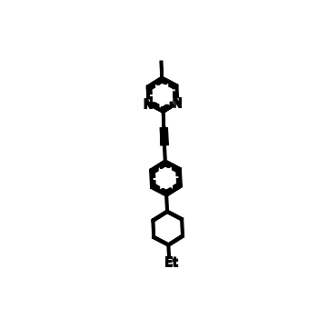 CCC1CCC(c2ccc(C#Cc3ncc(C)cn3)cc2)CC1